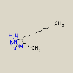 CCCCCCCCCCCc1c(CCC)nc2ncnn2c1N